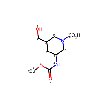 CC(C)(C)OC(=O)NC1CC(CO)CN(C(=O)O)C1